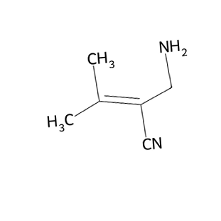 CC(C)=C(C#N)CN